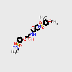 CCNS(=O)(=O)c1cccc(OC[C@@H](O)CNC2COC3(CCN(S(=O)(=O)c4ccc(OC)c(C)c4)CC3)C2)c1